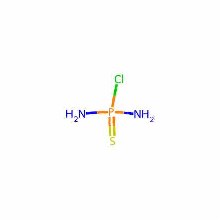 NP(N)(=S)Cl